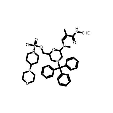 C/C(=C/N(C)C1CN(C(c2ccccc2)(c2ccccc2)c2ccccc2)CC(COP(=O)(Cl)N2CCC(N3CCOCC3)CC2)O1)C(=O)NC=O